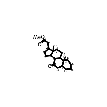 COC(=O)CC1CCC2C3C(=O)CC4CCCCC4(C)C3CCC12C